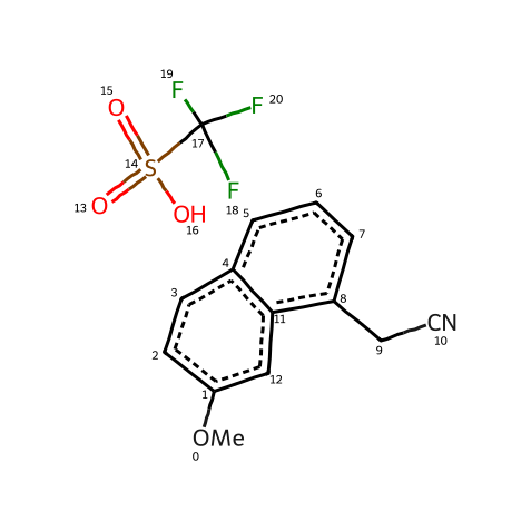 COc1ccc2cccc(CC#N)c2c1.O=S(=O)(O)C(F)(F)F